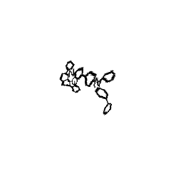 c1ccc(-c2ccc(N(c3ccccc3)c3ccc(-c4ccc(-n5c6ccccc6c6ccc7ccc8c9ccccc9oc8c7c65)cc4)cc3)cc2)cc1